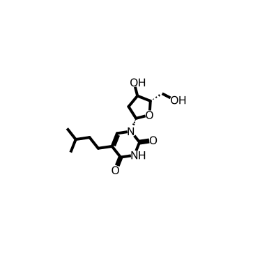 CC(C)CCc1cn([C@@H]2CC(O)[C@H](CO)O2)c(=O)[nH]c1=O